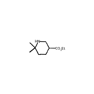 CCOC(=O)C1CCC(C)(C)NC1